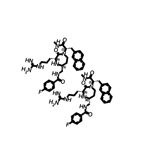 CNC(=O)[C@H](Cc1ccc2ccccc2c1)N1CC[C@@H](CNC(=O)c2ccc(F)cc2)N[C@H](CCCNC(=N)N)C1=O.CNC(=O)[C@H](Cc1ccc2ccccc2c1)N1CC[C@H](CNC(=O)c2ccc(F)cc2)N[C@H](CCCNC(=N)N)C1=O